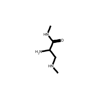 CNCC(N)C(=O)NC